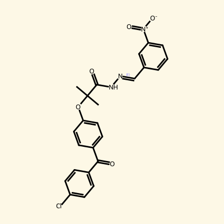 CC(C)(Oc1ccc(C(=O)c2ccc(Cl)cc2)cc1)C(=O)N/N=C/c1cccc([N+](=O)[O-])c1